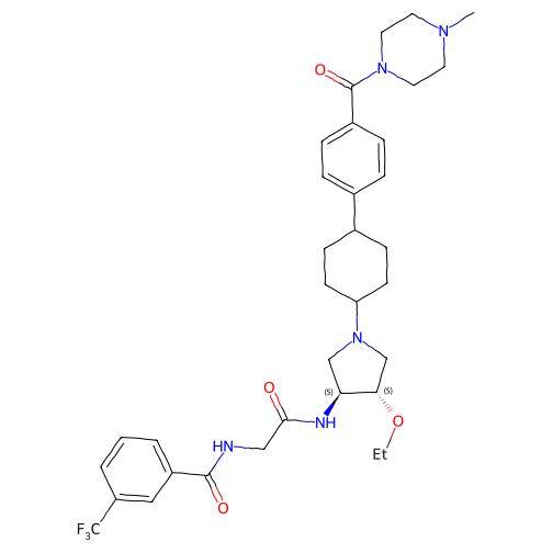 CCO[C@H]1CN(C2CCC(c3ccc(C(=O)N4CCN(C)CC4)cc3)CC2)C[C@@H]1NC(=O)CNC(=O)c1cccc(C(F)(F)F)c1